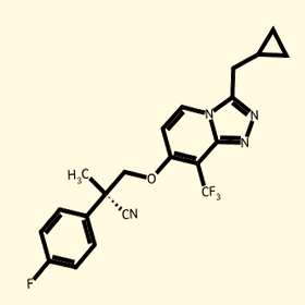 C[C@@](C#N)(COc1ccn2c(CC3CC3)nnc2c1C(F)(F)F)c1ccc(F)cc1